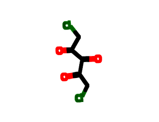 O=C(CCl)C(=O)C(=O)CCl